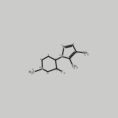 Cc1c(N)cnn1C1CCN(C)CC1F